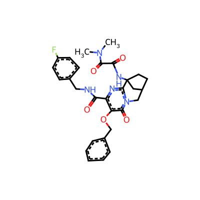 CN(C)C(=O)C(=O)NC12CCC(Cn3c1nc(C(=O)NCc1ccc(F)cc1)c(OCc1ccccc1)c3=O)C2